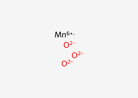 [Mn+6].[O-2].[O-2].[O-2]